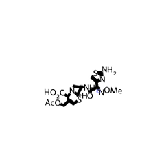 CO/N=C(/C(=O)N[C@@H]1CN2C(C(=O)O)C(COC(C)=O)=CS[C@H]12)c1csc(N)n1